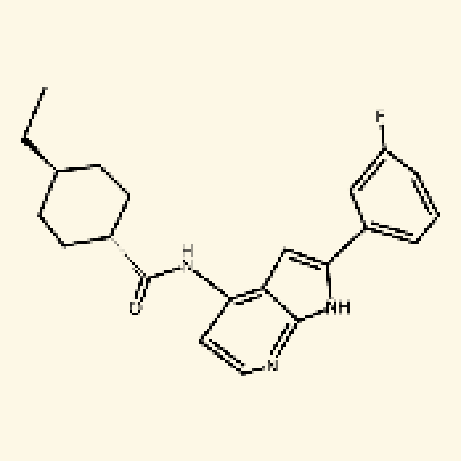 CC[C@H]1CC[C@H](C(=O)Nc2ccnc3[nH]c(-c4cccc(F)c4)cc23)CC1